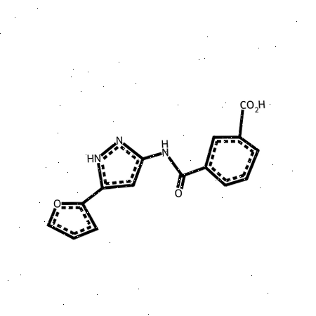 O=C(O)c1cccc(C(=O)Nc2cc(-c3ccco3)[nH]n2)c1